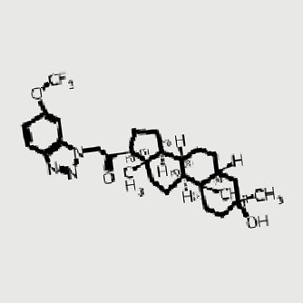 C[C@@]1(O)CC[C@@]2(C)[C@H](CC[C@@H]3[C@@H]2CC[C@]2(C)[C@@H](C(=O)Cn4nnc5ccc(OC(F)(F)F)cc54)CC[C@@H]32)C1